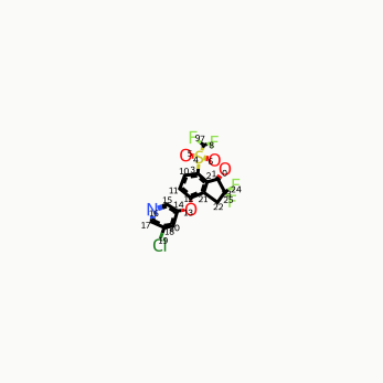 O=C1c2c(S(=O)(=O)C(F)F)ccc(Oc3cncc(Cl)c3)c2CC1(F)F